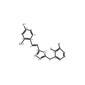 Cc1cccc(Cc2nnc(/C=C/c3ccc(F)cc3Cl)o2)c1C